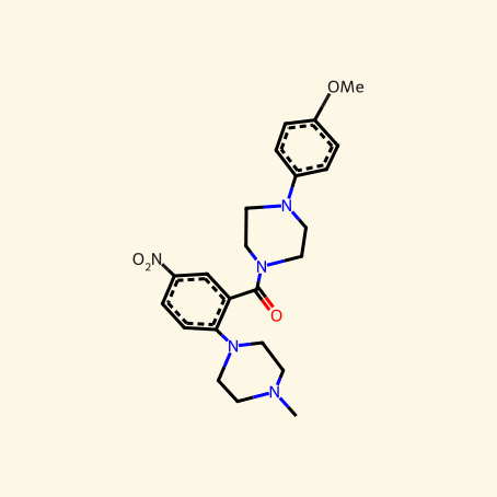 COc1ccc(N2CCN(C(=O)c3cc([N+](=O)[O-])ccc3N3CCN(C)CC3)CC2)cc1